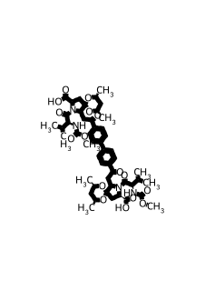 COC(=O)N[C@H](C(=O)N1C(C(=O)O)CC2(O[C@@H](C)C[C@H](C)O2)C1CC(=O)c1ccc(-c2ccc(C(=O)CC3N(C(=O)[C@@H](NC(=O)OC)C(C)C)[C@H](C(=O)O)CC34O[C@@H](C)C[C@H](C)O4)cc2)cc1)C(C)C